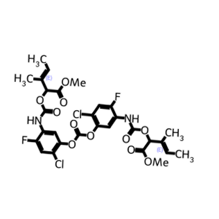 C/C=C(\C)C(OC(=O)Nc1cc(OC(=O)Oc2cc(NC(=O)OC(C(=O)OC)/C(C)=C/C)c(F)cc2Cl)c(Cl)cc1F)C(=O)OC